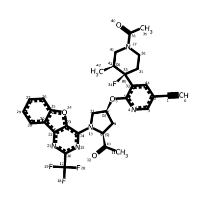 C#Cc1cnc(O[C@H]2C[C@@H](C(C)=O)N(c3nc(C(F)(F)F)nc4c3oc3ccccc34)C2)c([C@@]2(F)CCN(C(C)=O)C[C@@H]2C)c1